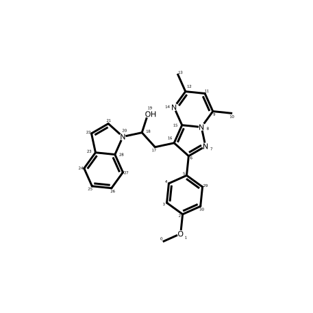 COc1ccc(-c2nn3c(C)cc(C)nc3c2CC(O)n2ccc3ccccc32)cc1